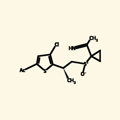 CC(=N)C1([S+]([O-])C[C@H](C)c2sc(C(C)=O)cc2Cl)CC1